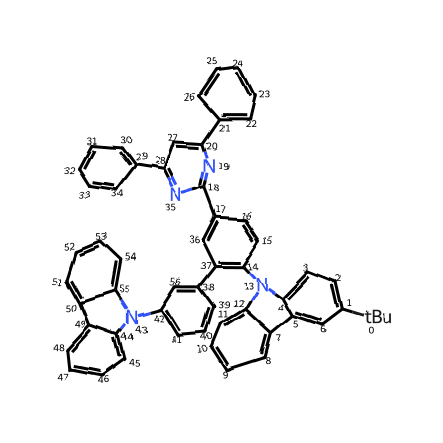 CC(C)(C)c1ccc2c(c1)c1ccccc1n2-c1ccc(-c2nc(-c3ccccc3)cc(-c3ccccc3)n2)cc1-c1cccc(-n2c3ccccc3c3ccccc32)c1